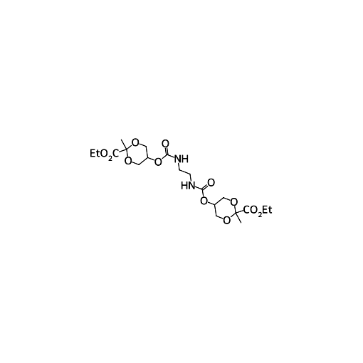 CCOC(=O)C1(C)OCC(OC(=O)NCCNC(=O)OC2COC(C)(C(=O)OCC)OC2)CO1